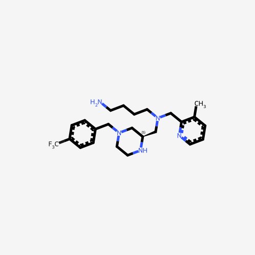 Cc1cccnc1CN(CCCCN)C[C@@H]1CN(Cc2ccc(C(F)(F)F)cc2)CCN1